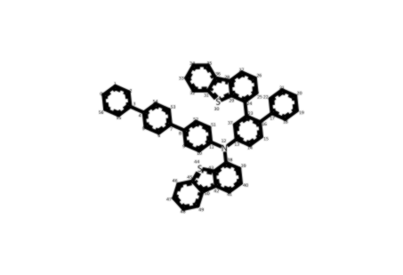 c1ccc(-c2ccc(-c3ccc(N(c4ccc(-c5ccccc5)c(-c5cccc6c5sc5ccccc56)c4)c4cccc5c4sc4ccccc45)cc3)cc2)cc1